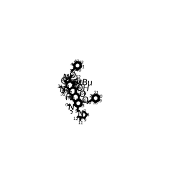 CN(C)c1c(CN2CCCC2(C)C)cc(OCc2ccccc2)c2c1C[C@H]1C[C@H]3[C@H](N(C)C)c4onc(OCc5ccccc5)c4C(=O)C3(O[Si](C)(C)C(C)(C)C)C(O)=C1C2=O